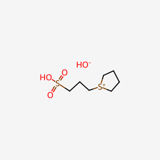 O=S(=O)(O)CCC[S+]1CCCC1.[OH-]